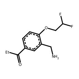 CCC(=O)c1ccc(OCC(F)F)c(CN)c1